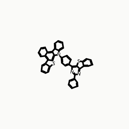 c1ccc(-c2nc(-c3ccc(-n4c5ccccc5c5c6ccccc6c6c7ccccc7sc6c54)cc3)c3sc4ccccc4c3n2)cc1